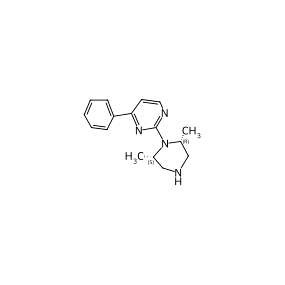 C[C@@H]1CNC[C@H](C)N1c1nccc(-c2ccccc2)n1